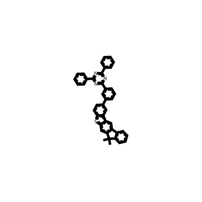 CC1(C)c2ccccc2-c2cc3c(cc21)sc1ccc(-c2cccc(-c4nc(-c5ccccc5)nc(-c5ccccc5)n4)c2)cc13